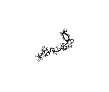 C[C@@H](Nc1nc(N2CCN(C(=O)[C@H]3CCCN3C(=O)OC(C)(C)C)CC2)ncc1Cl)c1ccc(Cl)cc1Cl